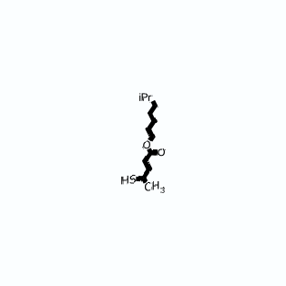 CC(C)CCCCCOC(=O)CCC(C)S